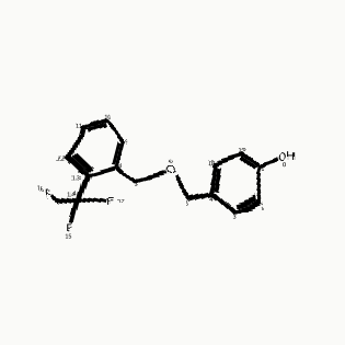 Oc1ccc(COCc2ccccc2C(F)(F)F)cc1